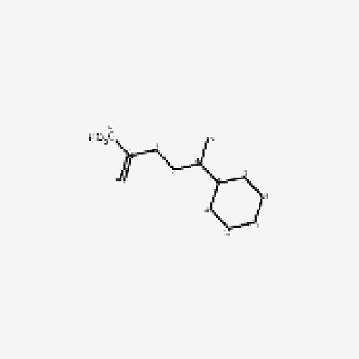 C=C(CCC(C)C1CCCCC1)C(=O)O